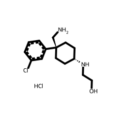 Cl.NC[C@]1(c2cccc(Cl)c2)CC[C@@H](NCCO)CC1